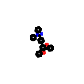 c1ccc(-n2c(-c3ccc(-c4cc5c6ccccc6oc5c5c4oc4ccccc45)cc3)nc3ccccc32)cc1